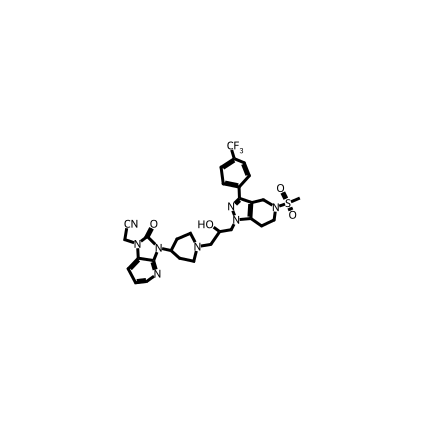 CS(=O)(=O)N1CCc2c(c(-c3ccc(C(F)(F)F)cc3)nn2CC(O)CN2CCC(n3c(=O)n(CC#N)c4cccnc43)CC2)C1